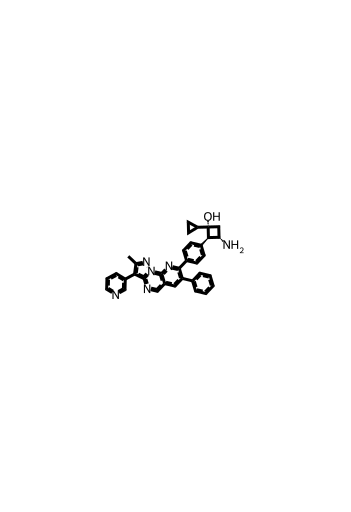 Cc1nn2c(ncc3cc(-c4ccccc4)c(-c4ccc([C@@H]5[C@@H](N)C[C@]5(O)C5CC5)cc4)nc32)c1-c1cccnc1